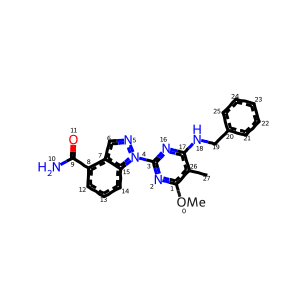 COc1nc(-n2ncc3c(C(N)=O)cccc32)nc(NCc2ccccc2)c1C